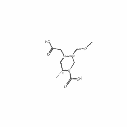 COC[C@H]1CN(C(=O)O)[C@H](C)CN1CC(=O)O